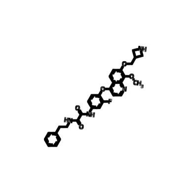 COc1c(OCC2CNC2)ccc2c(Oc3ccc(NC(=O)C(=O)NCCc4ccccc4)cc3F)ccnc12